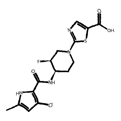 Cc1cc(Cl)c(C(=O)N[C@@H]2CCN(c3ncc(C(=O)O)s3)C[C@@H]2F)[nH]1